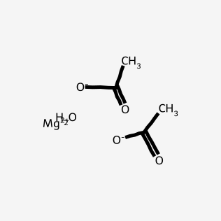 CC(=O)[O-].CC(=O)[O-].O.[Mg+2]